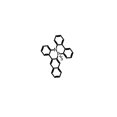 S=P12c3ccccc3-c3ccccc3N1c1ccccc1-c1cc3ccccc3cc12